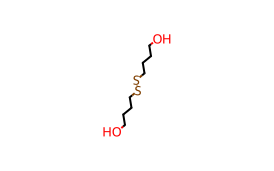 OCCCCSSCCCCO